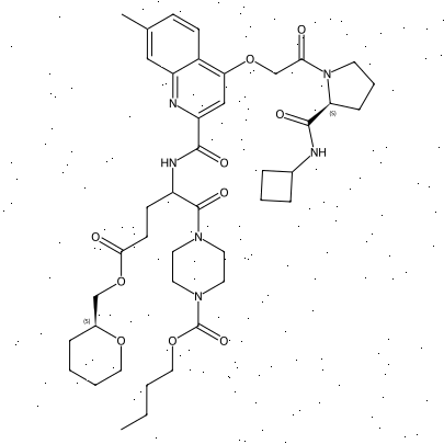 CCCCOC(=O)N1CCN(C(=O)C(CCC(=O)OC[C@@H]2CCCCO2)NC(=O)c2cc(OCC(=O)N3CCC[C@H]3C(=O)NC3CCC3)c3ccc(C)cc3n2)CC1